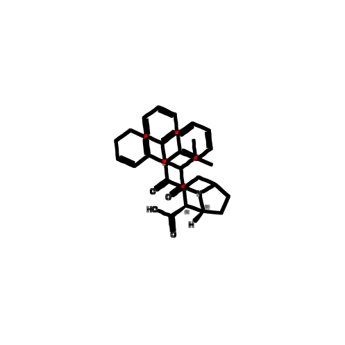 CN(C)C(Cc1ccccc1)C(=O)N1C2CC[C@@H]1[C@@H](C(=O)O)N(C(=O)N(C1=CCCC=C1)c1ccccc1)C2